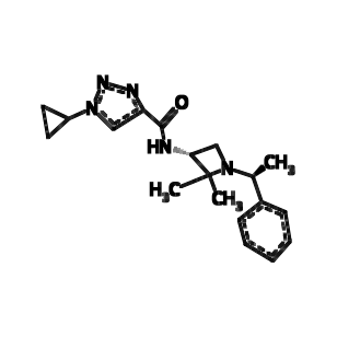 C[C@@H](c1ccccc1)N1C[C@@H](NC(=O)c2cn(C3CC3)nn2)C1(C)C